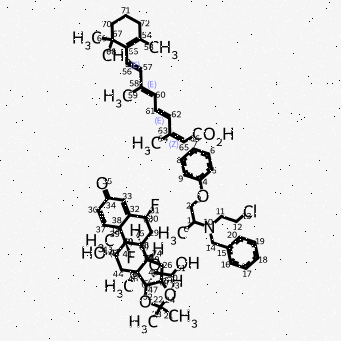 CC(COc1ccccc1)N(CCCl)Cc1ccccc1.CC1(C)O[C@@H]2C[C@H]3[C@@H]4C[C@H](F)C5=CC(=O)C=C[C@]5(C)[C@@]4(F)[C@@H](O)C[C@]3(C)[C@]2(C(=O)CO)O1.CC1=C(/C=C/C(C)=C/C=C/C(C)=C\C(=O)O)C(C)(C)CCC1